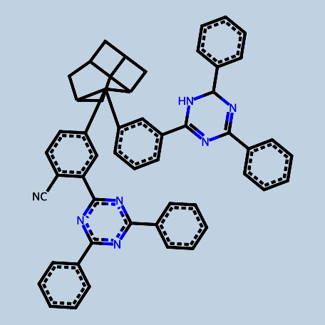 N#Cc1ccc(C2(c3cccc(C4=NC(c5ccccc5)=NC(c5ccccc5)N4)c3)C3CC4CC5CC2C45C3)cc1-c1nc(-c2ccccc2)nc(-c2ccccc2)n1